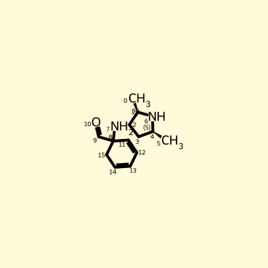 C[C@@H]1CC[C@H](C)N1.NC1(C=O)C=CC=CC1